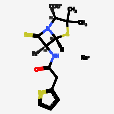 CC[C@]1(NC(=O)Cc2cccs2)C(=S)N2[C@@H](C(=O)[O-])C(C)(C)S[C@@H]21.[Na+]